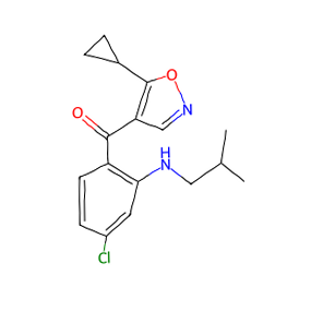 CC(C)CNc1cc(Cl)ccc1C(=O)c1cnoc1C1CC1